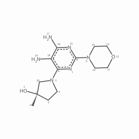 C[C@]1(O)CCN(c2nc(N3CCOCC3)nc(N)c2N)C1